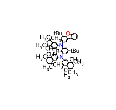 CC(C)(C)c1cc2c3c(c1)N(c1cc(C(C)(C)C)c4oc5ccccc5c4c1)c1cc4c(cc1B3c1cc3c(cc1N2c1ccc2c(c1)C(C)(C)CCC2(C)C)C(C)(C)CCC3(C)C)C(C)(C)CC4(C)C